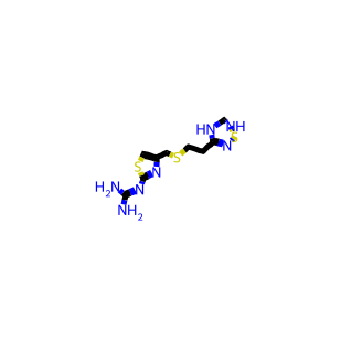 NC(N)=Nc1nc(CSCCC2=NSNCN2)cs1